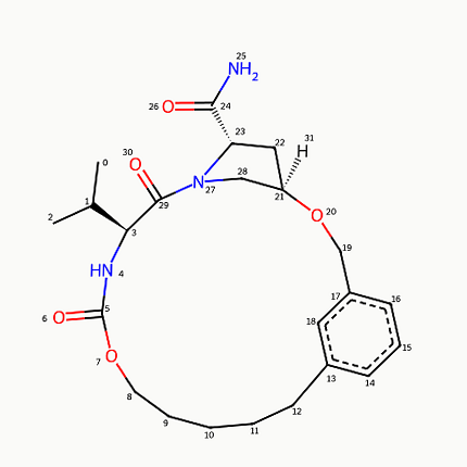 CC(C)[C@@H]1NC(=O)OCCCCCc2cccc(c2)CO[C@@H]2C[C@@H](C(N)=O)N(C2)C1=O